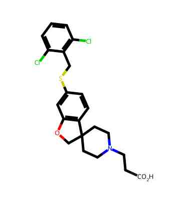 O=C(O)CCN1CCC2(CC1)COc1cc(SCc3c(Cl)cccc3Cl)ccc12